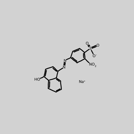 O=[N+]([O-])c1cc(N=Nc2ccc(O)c3ccccc23)ccc1S(=O)(=O)[O-].[Na+]